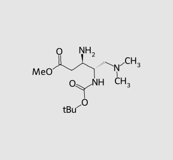 COC(=O)C[C@@H](N)[C@H](CN(C)C)NC(=O)OC(C)(C)C